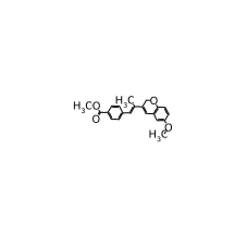 COC(=O)c1ccc(C=C(C)C2=Cc3cc(OC)ccc3OC2)cc1